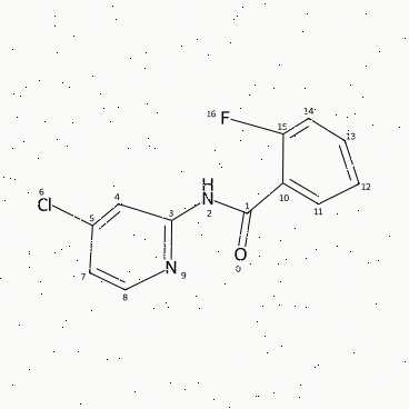 O=C(Nc1cc(Cl)ccn1)c1ccccc1F